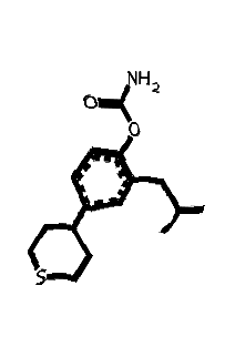 CC(C)Cc1cc(C2CCSCC2)ccc1OC(N)=O